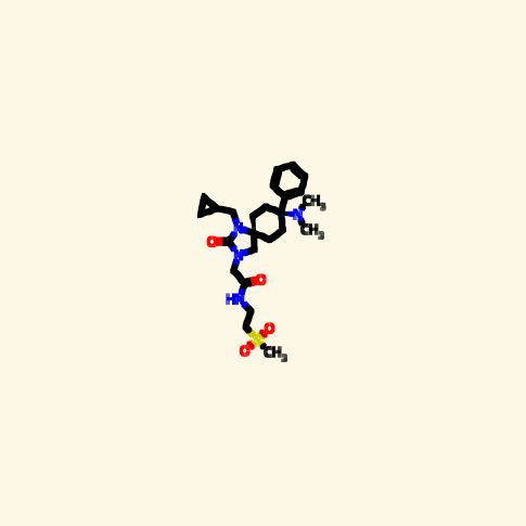 CN(C)[C@]1(c2ccccc2)CC[C@@]2(CC1)CN(CC(=O)NCCS(C)(=O)=O)C(=O)N2CC1CC1